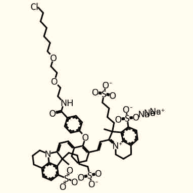 CC1(CCCCS(=O)(=O)[O-])C(/C=C/C2=C(Oc3ccc(C(=O)NCCOCCOCCCCCCCl)cc3)C(=C/C=C3/N4CCCc5ccc(S(=O)(=O)[O-])c(c54)C3(C)CCCCS(=O)(=O)[O-])/CCC2)=[N+]2CCCc3ccc(S(=O)(=O)[O-])c1c32.[Na+].[Na+].[Na+]